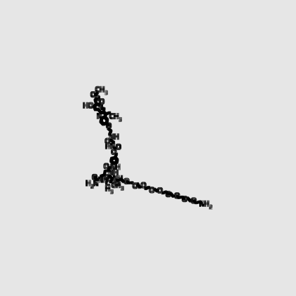 CCC(=O)OCc1c(O)cc2n(c1=O)Cc1c-2nc2ccc(OCCCNC(=O)CNC(=O)OCc3ccc(NC(=O)[C@H](CCCNC(N)=O)NC(=O)C(NC(=O)CCOCCOCCOCCOCCOCCOCCOCCOCCOCCN)C(C)C)cc3)cc2c1CC